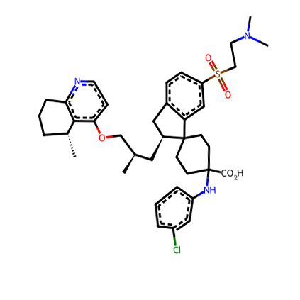 C[C@@H](COc1ccnc2c1[C@H](C)CCC2)C[C@H]1Cc2ccc(S(=O)(=O)CCN(C)C)cc2C12CCC(Nc1cccc(Cl)c1)(C(=O)O)CC2